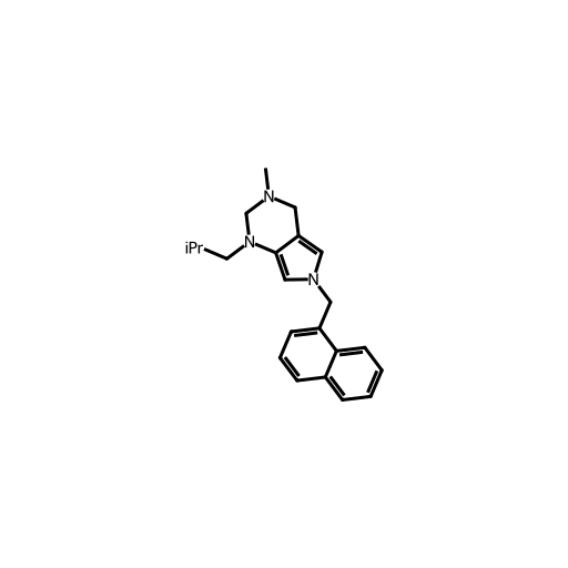 CC(C)CN1CN(C)Cc2cn(Cc3cccc4ccccc34)cc21